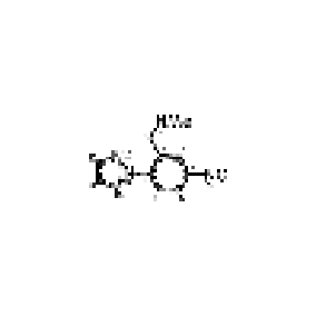 CNCc1cc(N=O)ccc1-n1cccn1